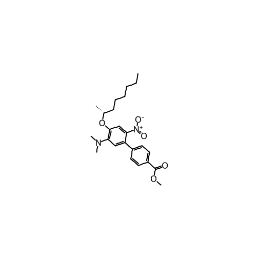 CCCCCC[C@@H](C)Oc1cc([N+](=O)[O-])c(-c2ccc(C(=O)OC)cc2)cc1N(C)C